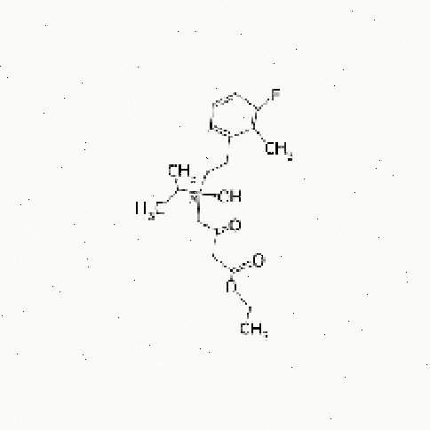 CCOC(=O)CC(=O)C[C@@](O)(CCc1cccc(F)c1C)C(C)C